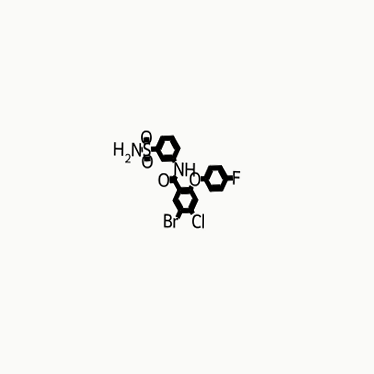 NS(=O)(=O)c1cccc(NC(=O)c2cc(Br)c(Cl)cc2Oc2ccc(F)cc2)c1